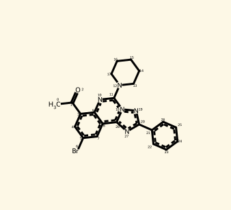 CC(=O)c1cc(Br)cc2c1nc(N1CCCCC1)n1nc(-c3ccccc3)nc21